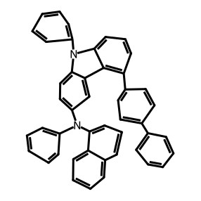 c1ccc(-c2ccc(-c3cccc4c3c3cc(N(c5ccccc5)c5cccc6ccccc56)ccc3n4-c3ccccc3)cc2)cc1